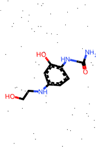 NC(=O)Nc1ccc(NCCO)cc1O